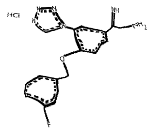 Cl.N=C(N)c1ccc(OCc2cccc(F)c2)c(-n2cnnn2)c1